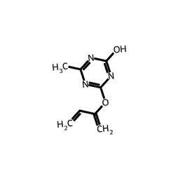 C=CC(=C)Oc1nc(C)nc(O)n1